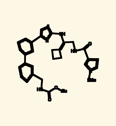 CSn1ccc(C(=O)NCC(Nc2nc(-c3cccc(-c4cccc(CNC(=O)OC(C)(C)C)c4)c3)cs2)=C2CCC2)c1